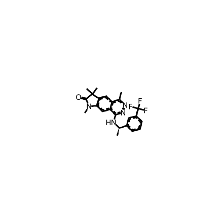 Cc1nnc(N[C@H](C)c2cccc(C(F)(F)F)c2)c2cc3c(cc12)C(C)(C)C(=O)N3C